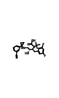 C#Cc1cccc(C2(NC[C@@H](O)[C@H](Cc3cc(F)cc(F)c3)N(C(=O)O)C(C)(C)C)CC2)c1